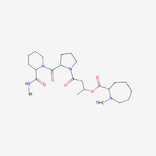 CC(C)NC(=O)C1CCCCN1C(=O)C1CCCN1C(=O)CC(C)OC(=O)C1CCCCCN1C=O